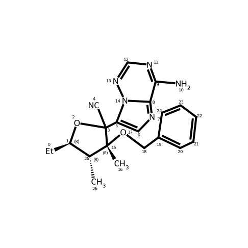 CC[C@H]1OC(C#N)(c2cnc3c(N)ncnn23)[C@](C)(OCc2ccccc2)[C@@H]1C